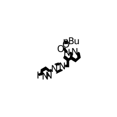 CCCCOC(=O)n1cc(CN2CCN(c3ccc(I)nn3)CC2)c2cccnc21